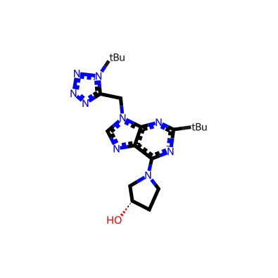 CC(C)(C)c1nc(N2CC[C@H](O)C2)c2ncn(Cc3nnnn3C(C)(C)C)c2n1